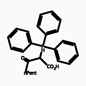 CCCCCC(=O)C(C(=O)O)[PH](c1ccccc1)(c1ccccc1)c1ccccc1